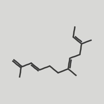 C=C(C)C=CCCC(C)=CCC(C)=CC